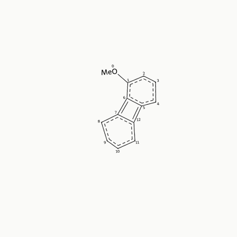 COc1cccc2c1=c1ccccc1=2